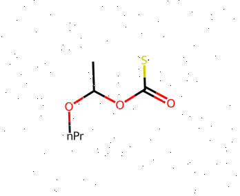 CCCOC(C)OC(=O)[S]